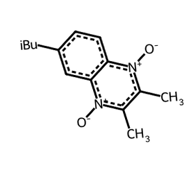 CCC(C)c1ccc2c(c1)[n+]([O-])c(C)c(C)[n+]2[O-]